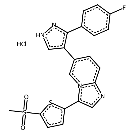 CS(=O)(=O)c1ccc(-c2cnc3ccc(-c4c[nH]nc4-c4ccc(F)cc4)cn23)s1.Cl